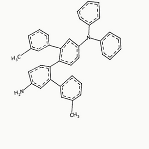 Cc1cccc(-c2cc(N)ccc2-c2ccc(N(c3ccccc3)c3ccccc3)cc2-c2cccc(C)c2)c1